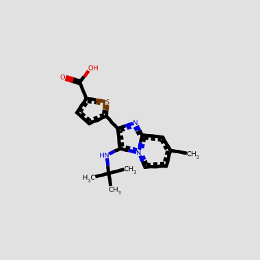 Cc1ccn2c(NC(C)(C)C)c(-c3ccc(C(=O)O)s3)nc2c1